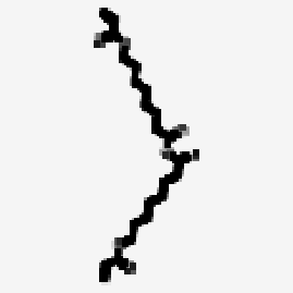 C=CC(=O)OCCCCCCCC(=O)OC(=O)CCCCCCCOC(=O)C=C